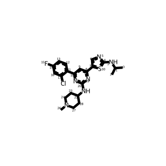 CC(C)Nc1ncc(-c2cc(-c3ccc(F)cc3Cl)nc(NC3CCN(C)CC3)n2)s1